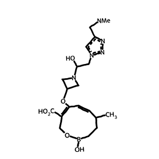 CNCc1cn(CC(O)N2CC(OC3=C(\C(=O)O)COB(O)CCC(C)/C=C\3)C2)nn1